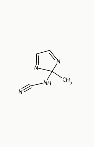 CC1(NC#N)N=CC=N1